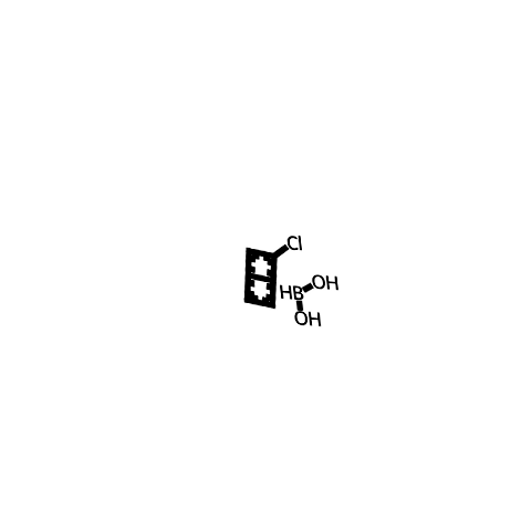 Clc1cc2ccc1-2.OBO